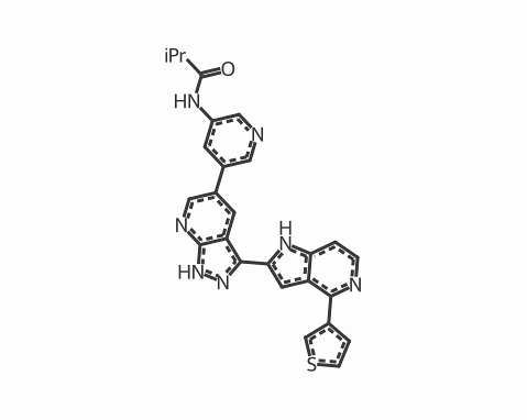 CC(C)C(=O)Nc1cncc(-c2cnc3[nH]nc(-c4cc5c(-c6ccsc6)nccc5[nH]4)c3c2)c1